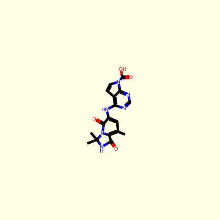 Cc1cc(Nc2ncnc3c2ccn3C(=O)O)c(=O)n2c1C(=O)NC2(C)C